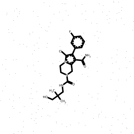 CC(C)(CO)CNC(=O)N1CCn2c(Cl)c(-c3cccc(F)c3)c(C(N)=O)c2C1